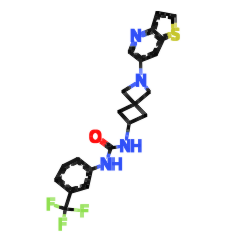 O=C(Nc1cccc(C(F)(F)F)c1)NC1CC2(C1)CN(c1cnc3ccsc3c1)C2